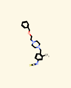 FC(F)(F)c1cc(N=C=S)ccc1CN1CCN(CCOCc2ccccc2)CC1